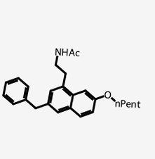 CCCCCOc1ccc2cc(Cc3ccccc3)cc(CCNC(C)=O)c2c1